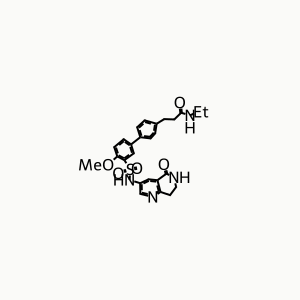 CCNC(=O)CCc1ccc(-c2ccc(OC)c(S(=O)(=O)Nc3cnc4c(c3)C(=O)NCC4)c2)cc1